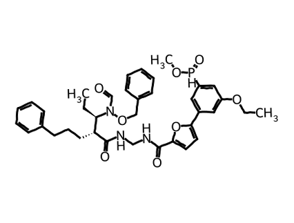 CCOc1cc(-c2ccc(C(=O)NCNC(=O)[C@H](CCCc3ccccc3)[C@@H](CC)N(C=O)OCc3ccccc3)o2)cc([PH](=O)OC)c1